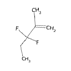 C=C(C)C(F)(F)CC